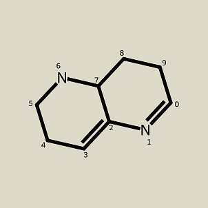 C1=NC2=CCC[N]C2CC1